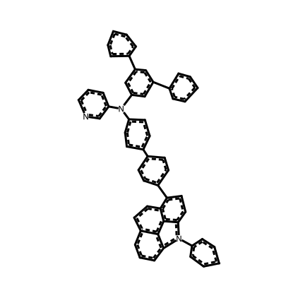 c1ccc(-c2cc(-c3ccccc3)cc(N(c3ccc(-c4ccc(-c5ccc6c7c5ccc5cccc(c57)n6-c5ccccc5)cc4)cc3)c3cccnc3)c2)cc1